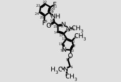 Cc1cc(OCCN(C)C)ncc1-c1cc(C(=O)Nc2c(F)cccc2F)nn1C